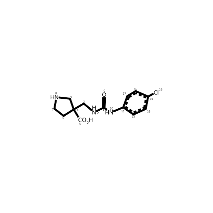 O=C(NCC1(C(=O)O)CCNC1)Nc1ccc(Cl)cc1